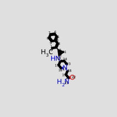 CC/C(=C\c1ccccc1)[C@H]1C[C@@H]1NC1CCN(CCC(N)=O)CC1